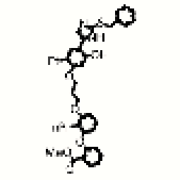 CCCc1c(OCCCOc2cc(O)c(-c3cnc(SCc4ccccc4)[nH]3)cc2CC)cccc1Oc1ccccc1C(=O)OC